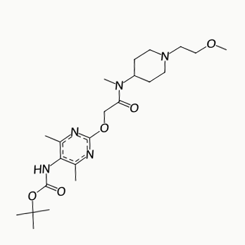 COCCN1CCC(N(C)C(=O)COc2nc(C)c(NC(=O)OC(C)(C)C)c(C)n2)CC1